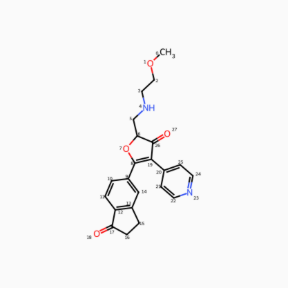 COCCNCC1OC(c2ccc3c(c2)CCC3=O)=C(c2ccncc2)C1=O